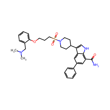 CN(C)Cc1ccccc1OCCCS(=O)(=O)N1CCC(c2c[nH]c3c(C(N)=O)cc(-c4ccccc4)cc23)CC1